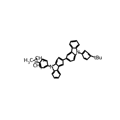 CC(C)(C)c1ccc(-n2c3ccccc3c3cc(-c4ccc5c(c4)c4ccccc4n5-c4ccc([Si](C)(C)C)cc4)ccc32)cc1